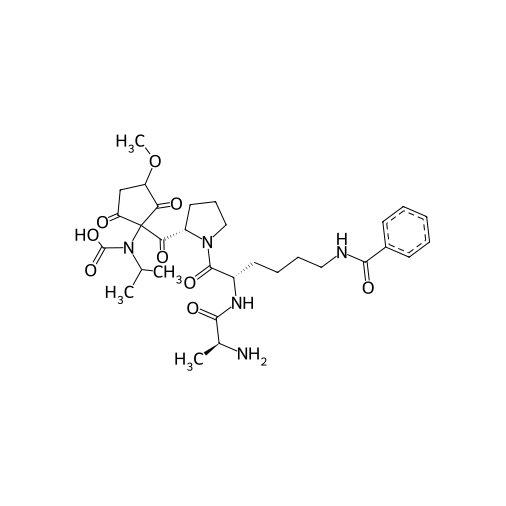 COC1CC(=O)C(C(=O)[C@@H]2CCCN2C(=O)[C@H](CCCCNC(=O)c2ccccc2)NC(=O)[C@H](C)N)(N(C(=O)O)C(C)C)C1=O